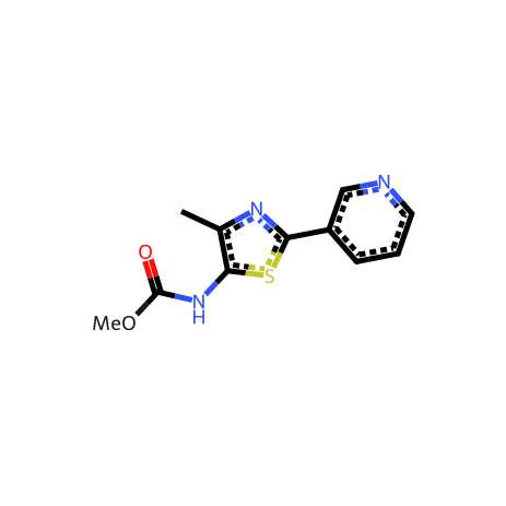 COC(=O)Nc1sc(-c2cccnc2)nc1C